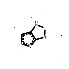 c1snc2c1NON2